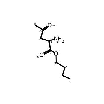 CCCCOC(=O)C(N)CC(C)=O